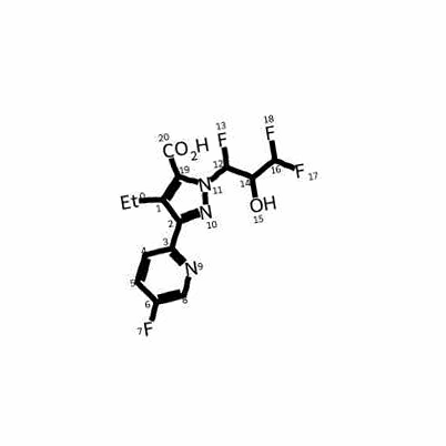 CCc1c(-c2ccc(F)cn2)nn(C(F)C(O)C(F)F)c1C(=O)O